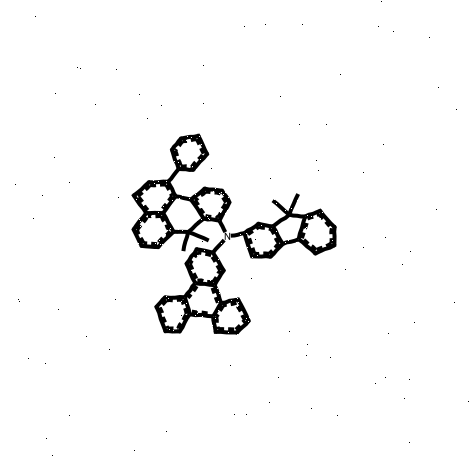 CC1(C)c2ccccc2-c2ccc(N(c3ccc4c5ccccc5c5ccccc5c4c3)c3cccc4c3C(C)(C)c3cccc5ccc(-c6ccccc6)c-4c35)cc21